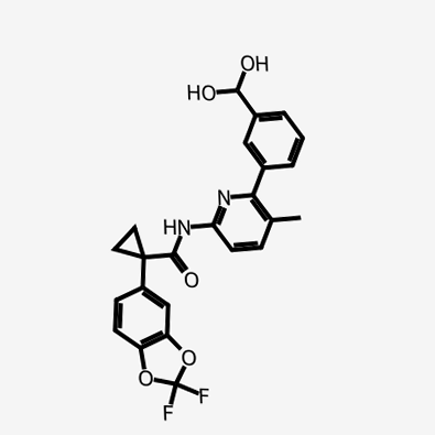 Cc1ccc(NC(=O)C2(c3ccc4c(c3)OC(F)(F)O4)CC2)nc1-c1cccc(C(O)O)c1